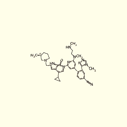 CNCCN(C)c1cc(-c2ccc(C#N)cc2-c2nncn2C)cc(-n2cc(C3CC3)c3cc(CN4CCC[C@H](C)C4)[nH]c3c2=O)n1